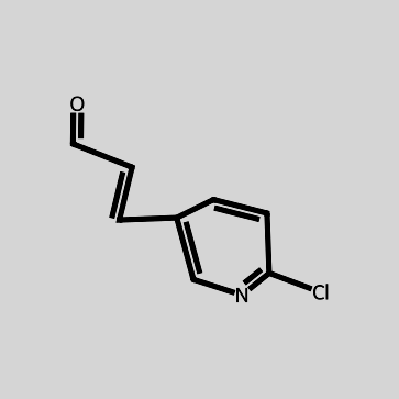 O=C/C=C/c1ccc(Cl)nc1